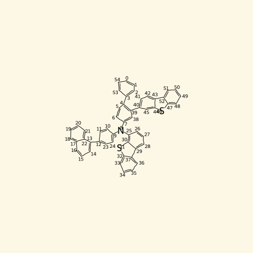 c1ccc(-c2ccc(N(c3ccc(-c4cccc5ccccc45)cc3)c3cccc4c3sc3ccccc34)cc2-c2ccc3c(c2)sc2ccccc23)cc1